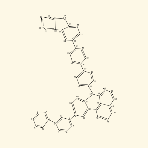 c1ccc(-c2cccc(-c3ccc(C(c4ccc(-c5ccc(-c6ccc7oc8ccccc8c7c6)cc5)cc4)c4cccc5ccccc45)cc3)c2)cc1